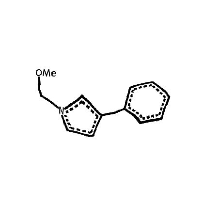 COCn1ccc(-c2ccccc2)c1